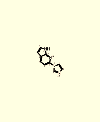 c1cn(-c2ccc3cc[nH]c3n2)cn1